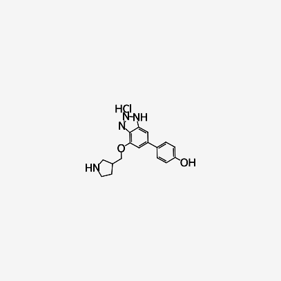 Cl.Oc1ccc(-c2cc(OCC3CCNC3)c3nn[nH]c3c2)cc1